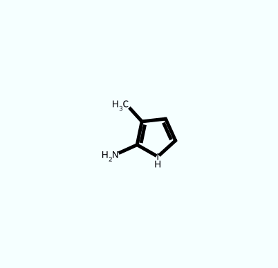 CC1=C(N)[IH]C=C1